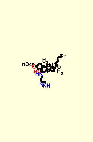 CCCCCCCCO[C@H]1CC[C@]2(C)[C@H]3CC[C@]4(C)[C@@H](C(C)CCCC(C)C)CC[C@H]4[C@@H]3C[C@@H](NCCc3c[nH]cn3)[C@@]2(O)C1